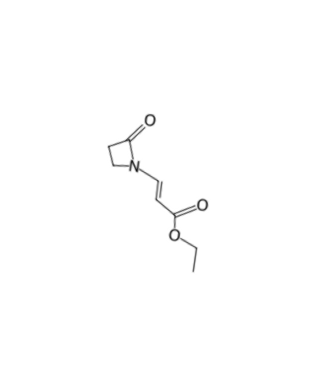 CCOC(=O)C=CN1CCC1=O